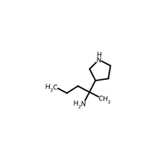 CCCC(C)(N)C1CCNC1